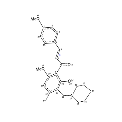 COc1ccc(/C=C/C(=O)c2c(OC)cc(C)c(CN3CCCCC3)c2O)cc1